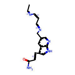 C\C=N/C=C\C=N\Cc1cnc2[nH]cc(/C=C/C(N)=O)c2c1